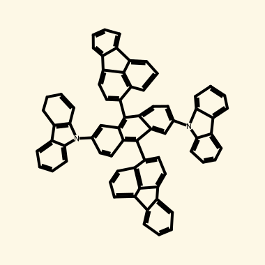 C1=Cc2c(c3ccccc3n2-c2ccc3c(-c4ccc5c6c(cccc46)-c4ccccc4-5)c4cc(-n5c6ccccc6c6ccccc65)ccc4c(-c4ccc5c6c(cccc46)-c4ccccc4-5)c3c2)CC1